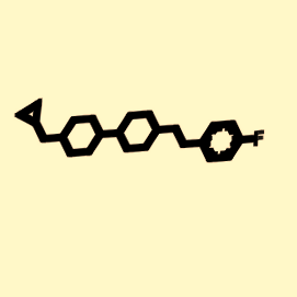 Fc1ccc(CCC2CCC(C3CCC(CC4CC4)CC3)CC2)cc1